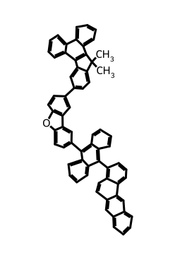 CC1(C)c2ccc(-c3ccc4oc5ccc(-c6c7ccccc7c(-c7cccc8c7ccc7cc9ccccc9cc78)c7ccccc67)cc5c4c3)cc2-c2c1c1ccccc1c1ccccc21